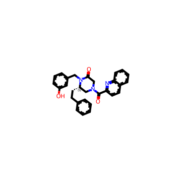 O=C(c1ccc2ccccc2n1)N1CC(=O)N(Cc2cccc(O)c2)[C@@H](CCc2ccccc2)C1